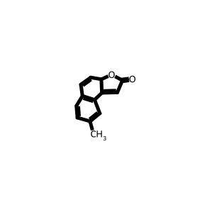 Cc1ccc2c(c1)C1=CC(=O)OC1C=C2